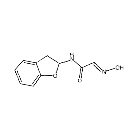 O=C(C=NO)NC1Cc2ccccc2O1